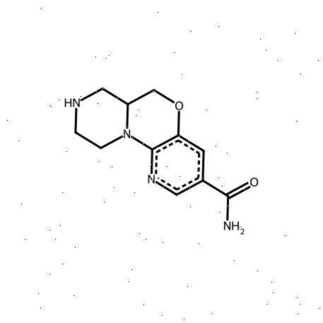 NC(=O)c1cnc2c(c1)OCC1CNCCN21